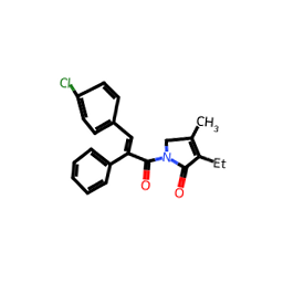 CCC1=C(C)CN(C(=O)/C(=C/c2ccc(Cl)cc2)c2ccccc2)C1=O